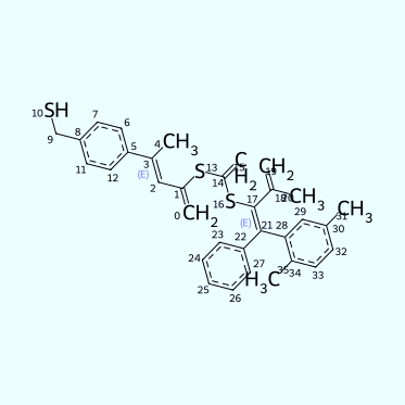 C=C(/C=C(\C)c1ccc(CS)cc1)SC(=C)S/C(C(=C)C)=C(\c1ccccc1)c1cc(C)ccc1C